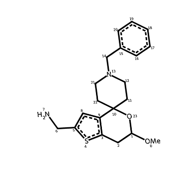 COC1Cc2sc(CN)cc2C2(CCN(Cc3ccccc3)CC2)O1